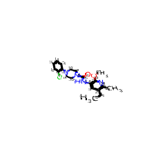 CCc1cc(NC(=O)N2CCN(c3ccccc3Cl)CC2)c(OC)nc1C